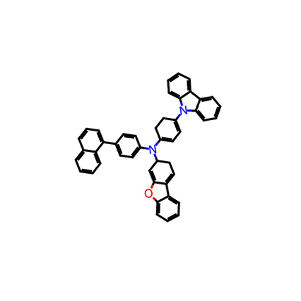 C1=C(N(c2ccc(-c3cccc4ccccc34)cc2)C2C=c3oc4ccccc4c3=CC2)CCC(n2c3ccccc3c3ccccc32)=C1